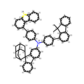 CC1(C)c2ccccc2-c2cccc(-c3ccc(N(c4ccc(-c5cccc6sc7ccccc7c56)cc4)c4ccc5c(c4)C4(c6ccccc6-5)C5CC6CC(C5)CC4C6)cc3)c21